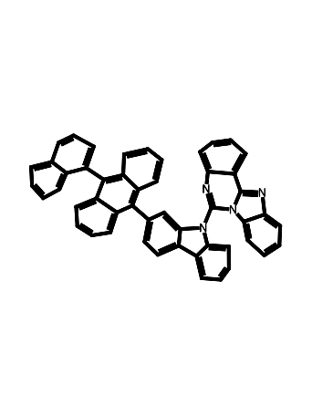 c1ccc2c(-c3c4ccccc4c(-c4ccc5c6ccccc6n(-c6nc7ccccc7c7nc8ccccc8n67)c5c4)c4ccccc34)cccc2c1